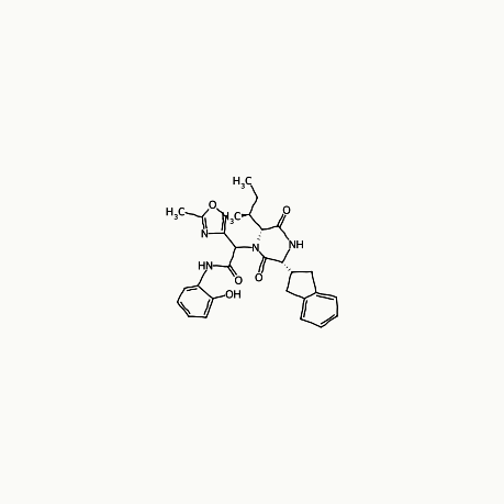 CC[C@H](C)[C@@H]1C(=O)N[C@H](C2Cc3ccccc3C2)C(=O)N1C(C(=O)Nc1ccccc1O)c1coc(C)n1